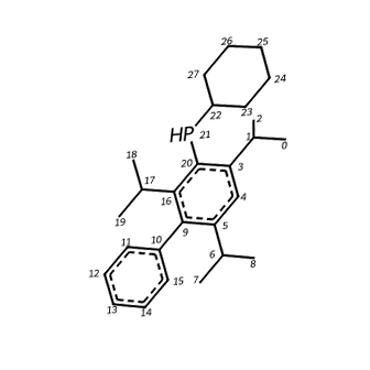 CC(C)c1cc(C(C)C)c(-c2ccccc2)c(C(C)C)c1PC1CCCCC1